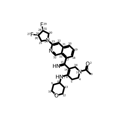 CC(=O)N1CCC(NC2CCOCC2)=C(C(=N)c2cccc3cc(N4C[C@@H](F)[C@@H](F)C4)ncc23)C1